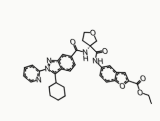 CCOC(=O)c1cc2cc(NC(=O)[C@@]3(NC(=O)c4ccc5c(C6CCCCC6)n(-c6ccccn6)nc5c4)CCOC3)ccc2o1